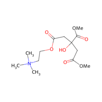 COC(=O)CC(O)(CC(=O)OCC[N+](C)(C)C)C(=O)OC